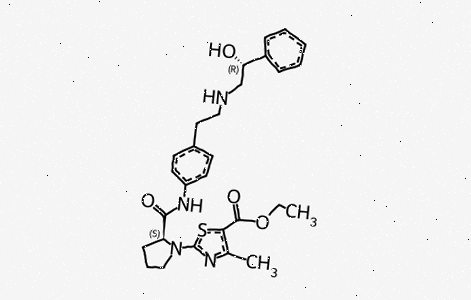 CCOC(=O)c1sc(N2CCC[C@H]2C(=O)Nc2ccc(CCNC[C@H](O)c3ccccc3)cc2)nc1C